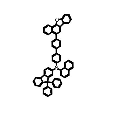 c1ccc(C2(c3ccccc3)c3ccccc3-c3ccc(N(c4ccc(-c5ccc(-c6cc7c8ccccc8oc7c7ccccc67)cc5)cc4)c4cccc5ccccc45)cc32)cc1